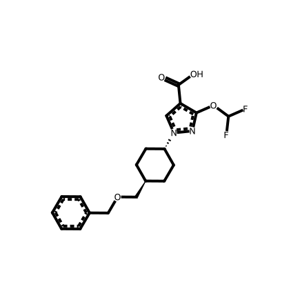 O=C(O)c1cn([C@H]2CC[C@H](COCc3ccccc3)CC2)nc1OC(F)F